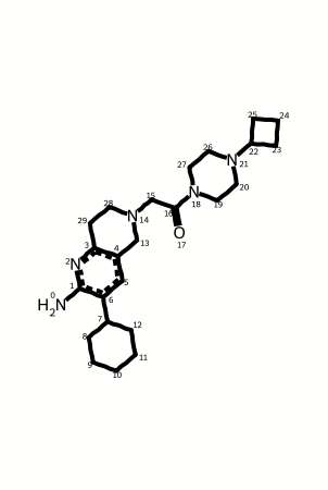 Nc1nc2c(cc1C1CCCCC1)CN(CC(=O)N1CCN(C3CCC3)CC1)CC2